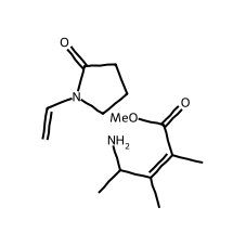 C=CN1CCCC1=O.COC(=O)C(C)=C(C)C(C)N